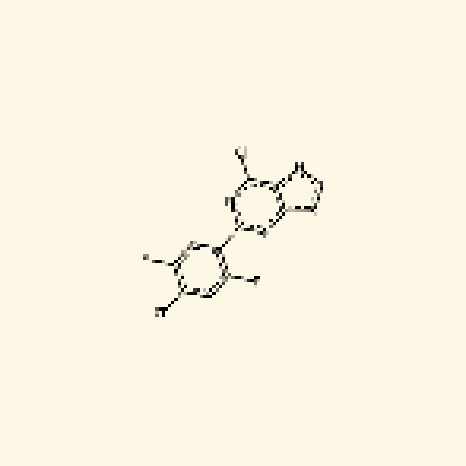 Fc1cc(-c2nc(Cl)c3ncsc3n2)c(F)cc1Cl